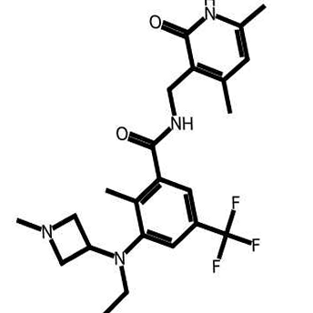 CCN(c1cc(C(F)(F)F)cc(C(=O)NCc2c(C)cc(C)[nH]c2=O)c1C)C1CN(C)C1